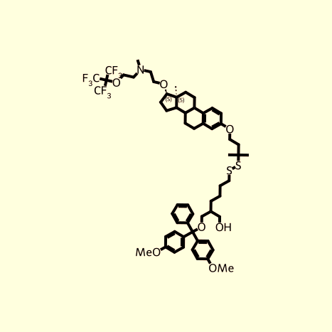 COc1ccc(C(OCC(CO)CCCCSSC(C)(C)CCOc2ccc3c(c2)CCC2C3CC[C@@]3(C)C2CC[C@@H]3OCCN(C)CCOC(C(F)(F)F)(C(F)(F)F)C(F)(F)F)(c2ccccc2)c2ccc(OC)cc2)cc1